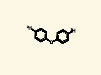 [2H]c1ccc(Oc2ccc([2H])cc2)cc1